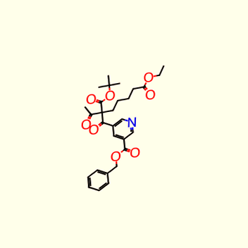 CCOC(=O)CCCCC(C(C)=O)(C(=O)OC(C)(C)C)C(=O)c1cncc(C(=O)OCc2ccccc2)c1